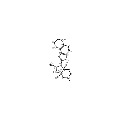 CN1CC[C@@H]2[C@H](C1)NC(O)N2c1nc2c3c(ccc2s1)OCCO3